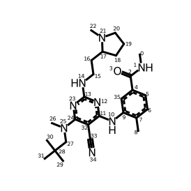 CNC(=O)c1ccc(C)c(Nc2nc(NCCC3CCCN3C)nc(N(C)CC(C)(C)C)c2C#N)c1